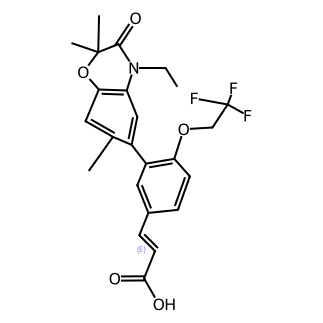 CCN1C(=O)C(C)(C)Oc2cc(C)c(-c3cc(/C=C/C(=O)O)ccc3OCC(F)(F)F)cc21